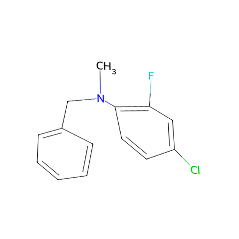 CN(Cc1ccccc1)c1ccc(Cl)cc1F